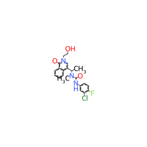 CC(c1cn(CCO)c(=O)c2ccccc12)N(C)C(=O)Nc1ccc(F)c(Cl)c1